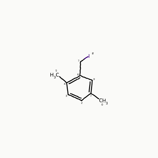 Cc1ccc(C)c(CI)c1